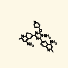 Cc1cc(N)c2cc(C3=NC(c4ccc5nc(C)cc(N)c5c4)N(N)C(Oc4ccncc4)=N3)ccc2n1